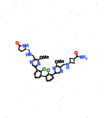 COc1nc(-c2cccc(-c3cccc(-c4cnc(CNC5CC(C(N)=O)C5)c(OC)n4)c3Cl)c2Cl)cnc1CNC[C@@H]1CCC(=O)N1